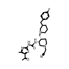 CC(=O)c1sc(NC(=O)N[C@H]2CN(CC#N)CC[C@H]2CN2CCCC(Cc3ccc(F)cc3)C2)nc1C